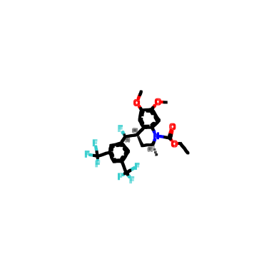 CCOC(=O)N1c2cc(OC)c(OC)cc2[C@H]([C@H](F)c2cc(C(F)(F)F)cc(C(F)(F)F)c2)C[C@H]1C